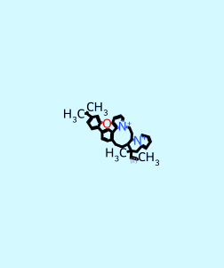 C/C=C\C1(C)Cc2cccc[n+]2C2CC[n+]3ccccc3-c3c(ccc4c3oc3cc(C(C)C)ccc34)CCC21